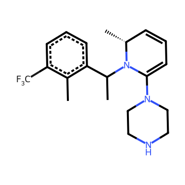 Cc1c(C(C)N2C(N3CCNCC3)=CC=C[C@H]2C)cccc1C(F)(F)F